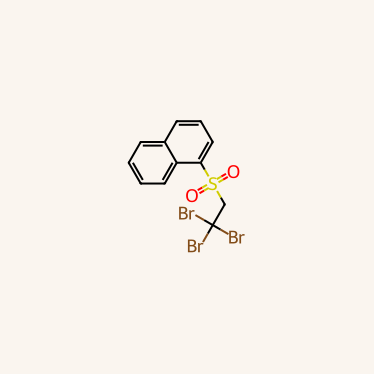 O=S(=O)(CC(Br)(Br)Br)c1cccc2ccccc12